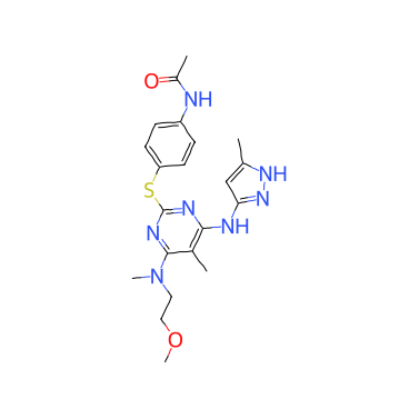 COCCN(C)c1nc(Sc2ccc(NC(C)=O)cc2)nc(Nc2cc(C)[nH]n2)c1C